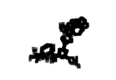 Cc1cc(Nc2nccc(C(F)(F)F)n2)cc(-c2cnc(C3(O)CCCC4(OCCO4)C3(C)C)s2)c1